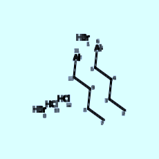 Br.Br.CCC[CH2][Al].CCC[CH2][Al].Cl.Cl